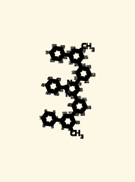 Cc1cc(-c2ccccc2)cc(-c2cccc(-c3cc(-c4cccc(-c5cc(C)cc(-c6ccccc6)c5)c4)nc(-c4ccccc4)n3)c2)c1